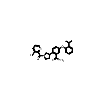 CC(C)c1ccccc1Oc1ccc(C2CCN(C(=O)c3ncccc3Cl)C2)c(C(N)=O)c1